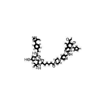 CC(=O)c1c(C)c2cnc(Nc3ccc(N4CCN(C(=O)CCCCC(=O)N[C@H](C(=O)N5C[C@H](O)C[C@H]5C(=O)NCc5ccc(-c6scnc6C)cc5)C(C)(C)C)CC4)cn3)nc2n(C2CCCC2)c1=O